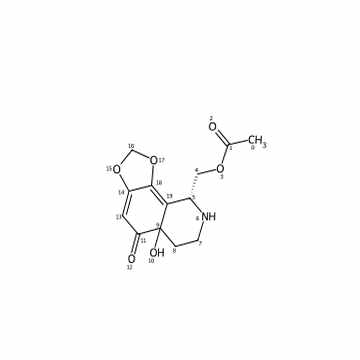 CC(=O)OC[C@@H]1NCCC2(O)C(=O)C=C3OCOC3=C12